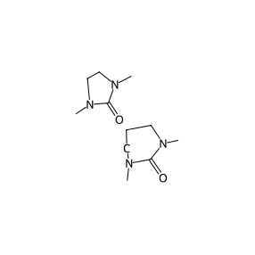 CN1CCCN(C)C1=O.CN1CCN(C)C1=O